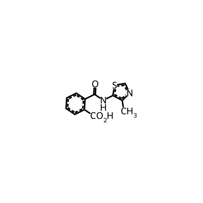 Cc1ncsc1NC(=O)c1ccccc1C(=O)O